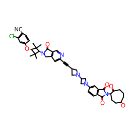 CC1(C)[C@H](Oc2ccc(C#N)c(Cl)c2)C(C)(C)[C@H]1N1Cc2cc(C#CC3CN(C4CN(c5ccc6c(c5)C(=O)N(C5CCC(=O)CCCC5=O)C6=O)C4)C3)ncc2C1=O